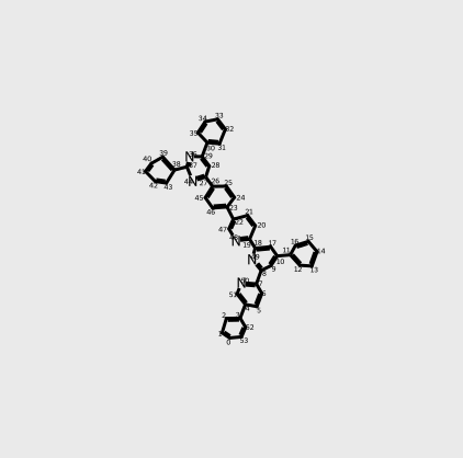 c1ccc(-c2ccc(-c3cc(-c4ccccc4)cc(-c4ccc(-c5ccc(-c6cc(-c7ccccc7)nc(-c7ccccc7)n6)cc5)cn4)n3)nc2)cc1